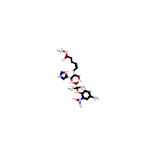 COC(=O)CC/C=C\C[C@@H]1CO[C@H](C(C)(C)Oc2ccc(C)cc2[N+](=O)[O-])O[C@@H]1c1cncs1